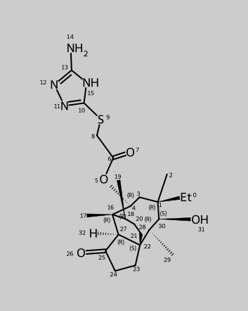 CC[C@]1(C)C[C@@H](OC(=O)CSc2nnc(N)[nH]2)[C@]2(C)[C@H](C)CC[C@]3(CCC(=O)[C@H]32)[C@@H](C)[C@@H]1O